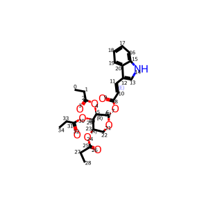 CCC(=O)O[C@H]1[C@H](OC(=O)/C=C/c2c[nH]c3ccccc23)OC[C@@H](OC(=O)CC)[C@H]1OC(=O)CC